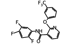 O=C(Nc1cc(F)c(F)cc1F)c1cccnc1Oc1cccc(C(F)(F)F)c1